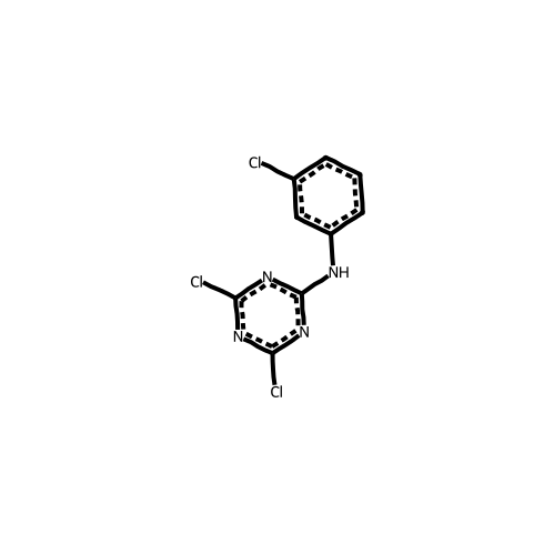 Clc1cccc(Nc2nc(Cl)nc(Cl)n2)c1